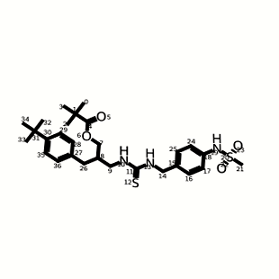 CC(C)(C)C(=O)OCC(CNC(=S)NCc1ccc(NS(C)(=O)=O)cc1)Cc1ccc(C(C)(C)C)cc1